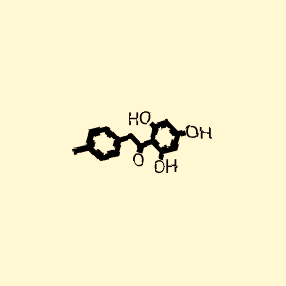 Cc1ccc(CC(=O)c2c(O)cc(O)cc2O)cc1